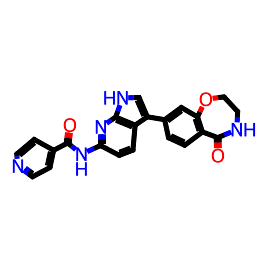 O=C(Nc1ccc2c(-c3ccc4c(c3)OCCNC4=O)c[nH]c2n1)c1ccncc1